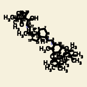 C=C1/C(=C\C=C2/CCC[C@@]3(C)[C@@H]2CC[C@@H]3[C@H](C)/C=C/[C@@H](O)C2(C(=O)C(C)(C)C)CC2)C[C@@H](O[Si](C)(C)C(C)(C)C)C[C@@H]1O[Si](C)(C)C(C)(C)C